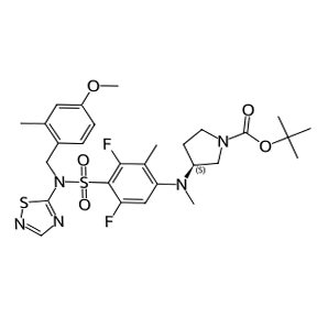 COc1ccc(CN(c2ncns2)S(=O)(=O)c2c(F)cc(N(C)[C@H]3CCN(C(=O)OC(C)(C)C)C3)c(C)c2F)c(C)c1